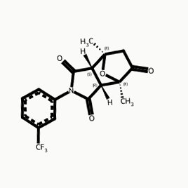 C[C@]12CC(=O)[C@](C)(O1)[C@@H]1C(=O)N(c3cccc(C(F)(F)F)c3)C(=O)[C@@H]12